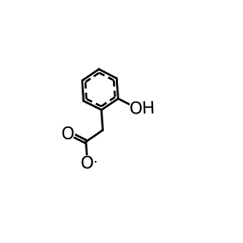 [O]C(=O)Cc1ccccc1O